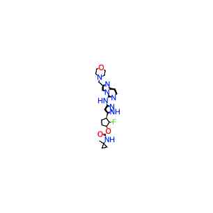 CC1(NC(=O)O[C@H]2CC[C@@H](c3cc(Nc4nccc5nc(CN6CCOCC6)cn45)n[nH]3)[C@H]2F)CC1